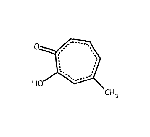 Cc1cccc(=O)c(O)c1